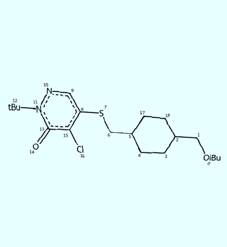 CC(C)COCC1CCC(CSc2cnn(C(C)(C)C)c(=O)c2Cl)CC1